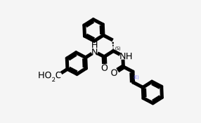 O=C(/C=C/c1ccccc1)N[C@@H](Cc1ccccc1)C(=O)Nc1ccc(C(=O)O)cc1